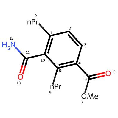 CCCc1ccc(C(=O)OC)c(CCC)c1C(N)=O